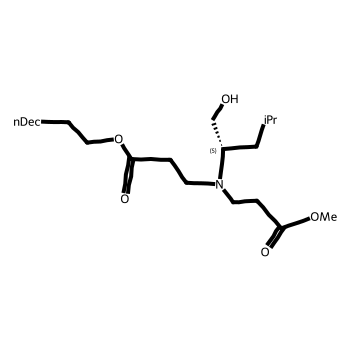 CCCCCCCCCCCCOC(=O)CCN(CCC(=O)OC)[C@H](CO)CC(C)C